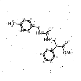 COC(=O)C(CNC(=O)NCc1ccc(C)nc1)c1ccccc1